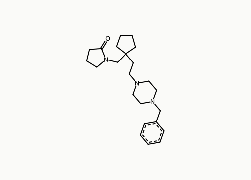 O=C1CCCN1CC1(CCN2CCN(Cc3ccccc3)CC2)CCCC1